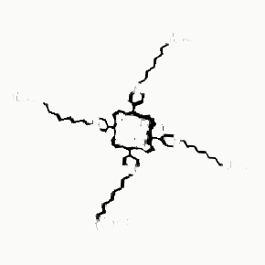 CCCCCCCCCCCCCCCCCCN1C=CC(c2c3nc(c(C4=CCN(CCCCCCCCCCCCCCCCCC)C=C4)c4ccc([nH]4)c(C4=CCN(CCCCCCCCCCCCCCCCCC)C=C4)c4nc(c(C5=CCN(CCCCCCCCCCCCCCCCCC)C=C5)c5ccc2[nH]5)C=C4)C=C3)=CC1